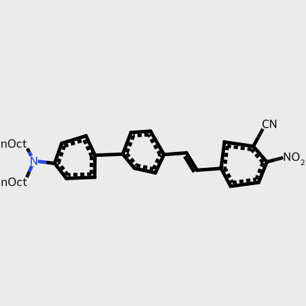 CCCCCCCCN(CCCCCCCC)c1ccc(-c2ccc(C=Cc3ccc([N+](=O)[O-])c(C#N)c3)cc2)cc1